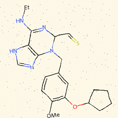 CCNC1=NC(C=S)N(Cc2ccc(OC)c(OC3CCCC3)c2)c2nc[nH]c21